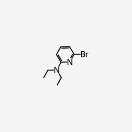 CCN(CC)c1cccc(Br)n1